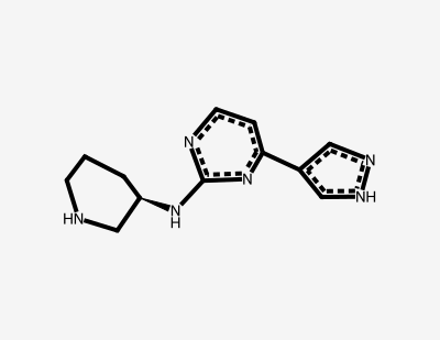 c1cc(-c2cn[nH]c2)nc(N[C@@H]2CCCNC2)n1